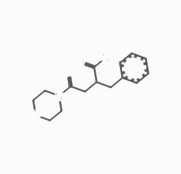 NC(=O)C(CC(=O)N1CCOCC1)Cc1ccccc1